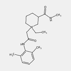 CC[N+]1(CC(=O)Nc2c(C)cccc2C)CCCC(C(=O)NC)C1